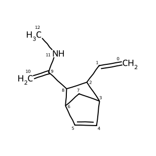 C=CC1C2C=CC(C2)C1C(=C)NC